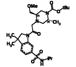 COC[C@H]1CN(C(=O)OC(C)(C)C)[C@H](C)CN1CC(=O)N1CC(C)(C)c2ccc(S(=O)(=O)NC(C)C)cc21